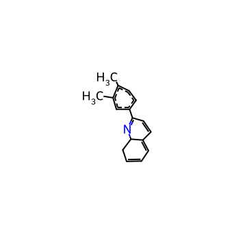 Cc1ccc(C2=NC3CC=CC=C3C=C2)cc1C